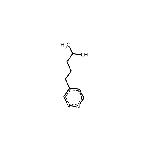 CC(C)CCCc1ccnnc1